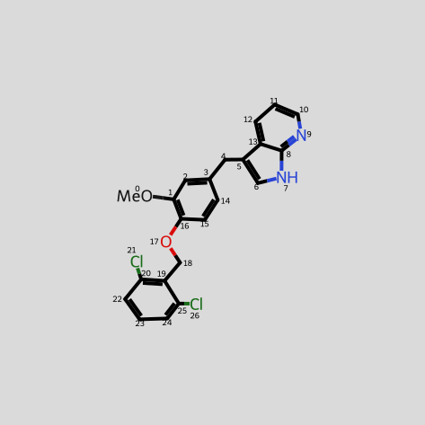 COc1cc(Cc2c[nH]c3ncccc23)ccc1OCc1c(Cl)cccc1Cl